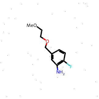 COCCOCc1ccc(F)c(N)c1